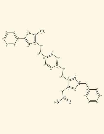 Cc1oc(-c2ccccc2)nc1COc1ccc(COc2nn(Cc3ccccc3)cc2CC(=O)O)cn1